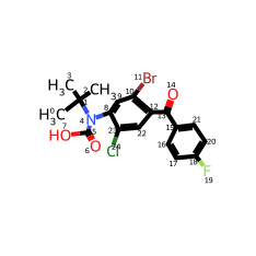 CC(C)(C)N(C(=O)O)c1cc(Br)c(C(=O)c2ccc(F)cc2)cc1Cl